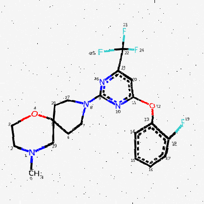 CN1CCOC2(CCN(c3nc(Oc4ccccc4F)cc(C(F)(F)F)n3)CC2)C1